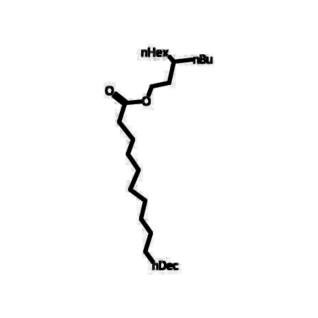 CCCCCCCCCCCCCCCCCCCC(=O)OCCC(CCCC)CCCCCC